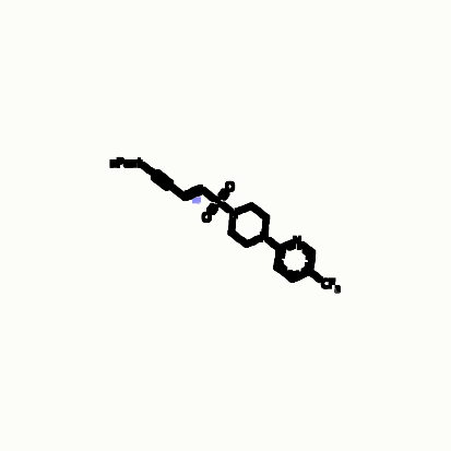 CCCCCC#C/C=C/S(=O)(=O)N1CCN(c2ccc(C(F)(F)F)cn2)CC1